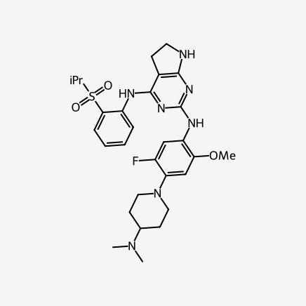 COc1cc(N2CCC(N(C)C)CC2)c(F)cc1Nc1nc2c(c(Nc3ccccc3S(=O)(=O)C(C)C)n1)CCN2